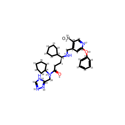 O=C(CC[C@H](NCc1cc(Oc2ccccc2)ncc1[N+](=O)[O-])C1CCCCC1)N(Cc1nnc[nH]1)C1CCCCC1